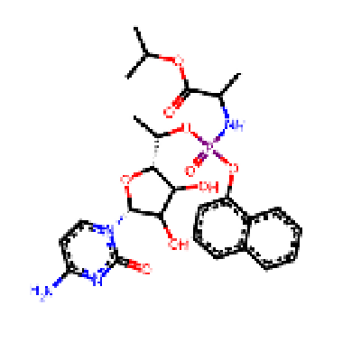 CC(C)OC(=O)C(C)NP(=O)(Oc1cccc2ccccc12)OC(C)[C@H]1O[C@@H](n2ccc(N)nc2=O)C(O)C1O